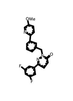 COc1ccc(-c2cccc(Cn3nc(-c4cc(F)cc(F)c4)ccc3=O)c2)nc1